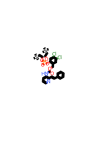 C[Si](C)(C)CCOP(=O)(OCC[Si](C)(C)C)Oc1cc(Cl)c(Cl)cc1COC(=O)Nc1cccnc1C=Cc1ccccc1